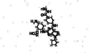 CCCCNC(=O)N1CCC(Nc2nc(NC3CCC(N)CC3)nc3c2ncn3C2CCCC2)CC1.Cl.Cl